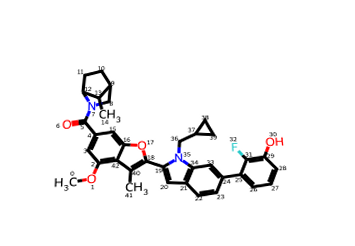 COc1cc(C(=O)N2CC3CCC2C3C)cc2oc(-c3cc4ccc(-c5cccc(O)c5F)cc4n3CC3CC3)c(C)c12